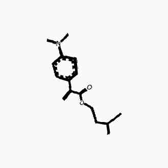 C=C(C(=O)OCCC(C)C)c1ccc(N(C)C)cc1